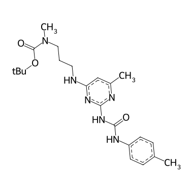 Cc1ccc(NC(=O)Nc2nc(C)cc(NCCCN(C)C(=O)OC(C)(C)C)n2)cc1